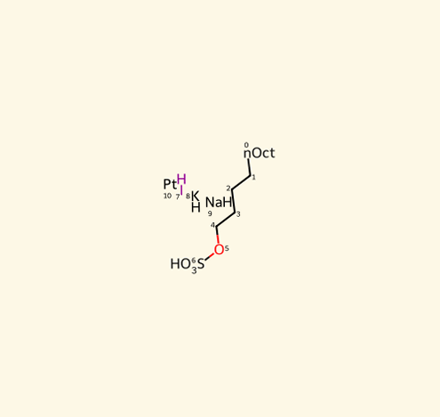 CCCCCCCCCCCCOS(=O)(=O)O.I.[KH].[NaH].[Pt]